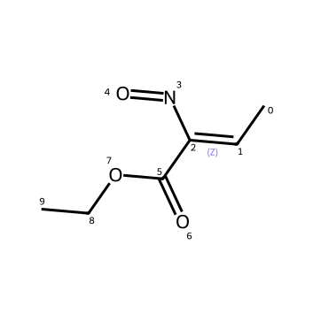 C/C=C(\N=O)C(=O)OCC